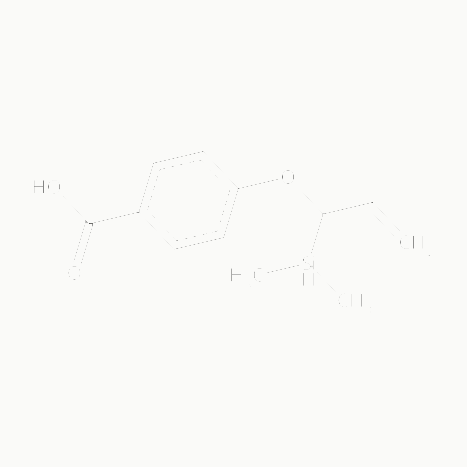 C=CC(Oc1ccc(C(=O)O)cc1)[SiH](C)C